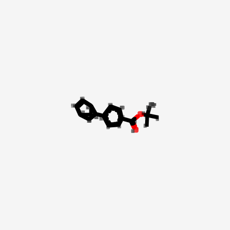 CC(C)C(C)(C)OC(=O)c1ccc(C2CC3C=CC2C3)cc1